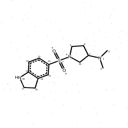 CN(C)C1CCN(S(=O)(=O)c2ccc3c(c2)CCN3)C1